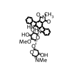 CN[C@@H]1CO[C@H](OC[C@H]2O[C@@H](n3c4ccccc4c4c5c(c6c7ccccc7[nH]c6c43)C(=O)N(C)C5=O)[C@H](O)[C@H](O)[C@H]2OC)C[C@H]1O